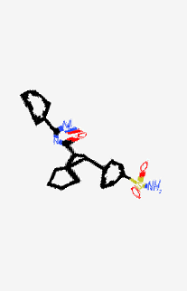 NS(=O)(=O)c1ccc(C2[C@H](c3nc(-c4ccccc4)no3)C23CCCC3)cc1